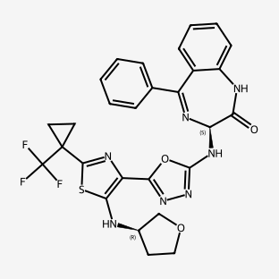 O=C1Nc2ccccc2C(c2ccccc2)=N[C@@H]1Nc1nnc(-c2nc(C3(C(F)(F)F)CC3)sc2N[C@@H]2CCOC2)o1